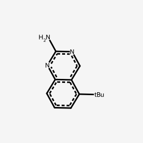 CC(C)(C)c1cccc2nc(N)ncc12